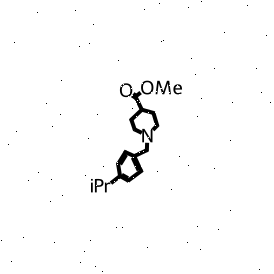 COC(=O)C1CCN(Cc2ccc(C(C)C)cc2)CC1